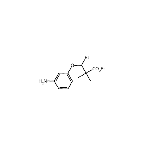 CCOC(=O)C(C)(C)C(CC)Oc1cccc(N)c1